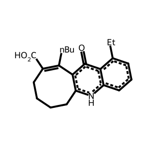 CCCCC1=C(C(=O)O)CCCCc2[nH]c3cccc(CC)c3c(=O)c21